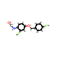 O=C=Nc1ccc(OCc2ccc(F)cc2)cc1F